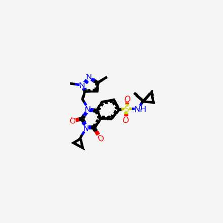 Cc1cc(Cn2c(=O)n(C3CC3)c(=O)c3cc(S(=O)(=O)NC4(C)CC4)ccc32)n(C)n1